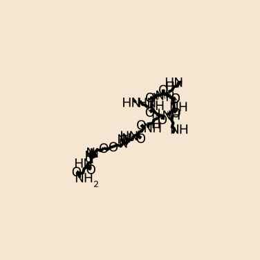 CNCCCC[C@@H]1NC(=O)[C@@H](C)NC(=O)[C@H](CCCCNC)NC(=O)[C@@H](CCCCNC(=O)CCC(=O)NCc2cn(CCOCCOCCn3cc(CNC(=O)CCC(N)=O)nn3)nn2)NC(=O)[C@H](CCCCNC)NC(=O)[C@@H](C)NC1=O